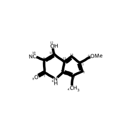 COc1cc(C)c2[nH]c(=O)c(C#N)c(O)c2c1